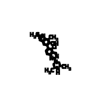 Cc1c(O)c(-c2ccc3nc(N4C[C@@H](C)N[C@@H](C)C4)ncc3c2Cl)cc2cn(C)nc12